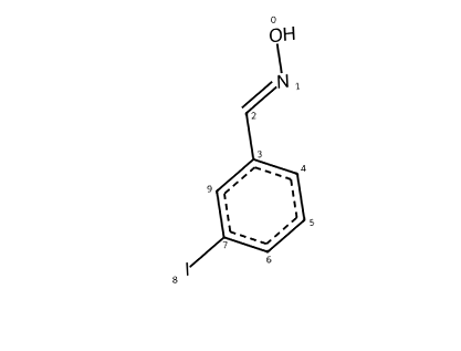 ON=Cc1cccc(I)c1